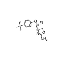 CC[C@H](C[C@H]1COC(N)=N1)Oc1ccc(C(C)(F)F)cn1